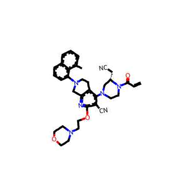 C=CC(=O)N1CCN(c2c(C#N)c(OCCN3CCOCC3)nc3c2CCN(c2cccc4cccc(C)c24)C3)C[C@@H]1CC#N